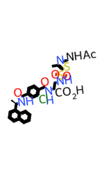 CC(=O)Nc1nc(C)c(S(=O)(=O)NC[C@H](NC(=O)c2ccc(C(=O)N[C@H](C)c3cccc4ccccc34)cc2Cl)C(=O)O)s1